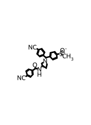 C[S+]([O-])c1ccc(C(c2ccc(C#N)cc2)N2CC[C@@H](NC(=O)c3ccc(C#N)cc3)C2)cc1